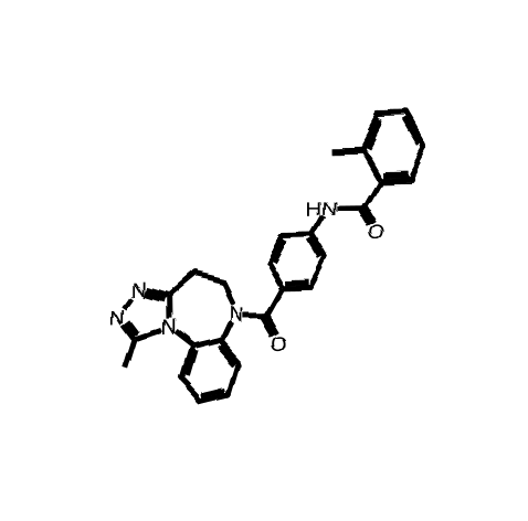 Cc1ccccc1C(=O)Nc1ccc(C(=O)N2CCc3nnc(C)n3-c3ccccc32)cc1